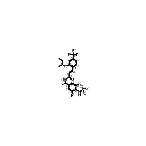 CCC(C)Oc1cc(C(F)(F)F)ccc1/C=C/C(=O)N[C@H](C)c1cc(F)c(NS(C)(=O)=O)c(F)c1